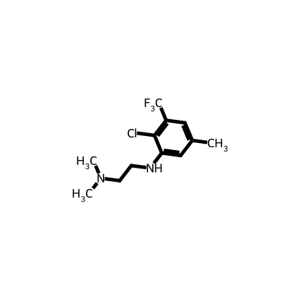 Cc1cc(NCCN(C)C)c(Cl)c(C(F)(F)F)c1